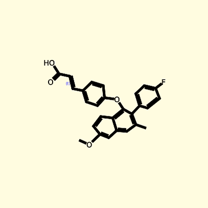 COc1ccc2c(Oc3ccc(/C=C/C(=O)O)cc3)c(-c3ccc(F)cc3)c(C)cc2c1